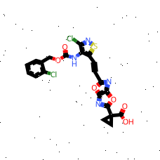 O=C(Nc1c(Cl)nsc1C#Cc1nc2oc(C3(C(=O)O)CC3)nc2o1)OCc1ccccc1Cl